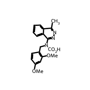 COc1ccc(CN(C(=O)O)c2nnc(C)c3ccccc23)c(OC)c1